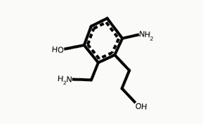 NCc1c(O)ccc(N)c1CCO